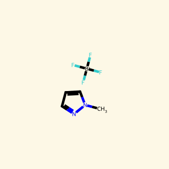 Cn1cccn1.F[B-](F)(F)F